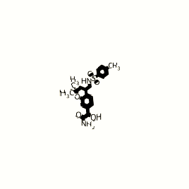 Cc1ccc(S(=O)(=O)NCC2CC(C)(C)Oc3cc(C(O)C(N)=O)ccc32)cc1